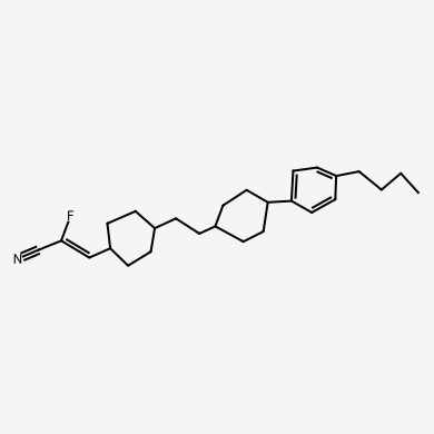 CCCCc1ccc(C2CCC(CCC3CCC(C=C(F)C#N)CC3)CC2)cc1